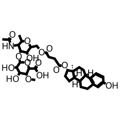 COC1C(C(=O)O)OC(OC2C(O)C(COC(=O)CCC(=O)O[C@H]3CC[C@H]4[C@@H]5CCc6cc(O)ccc6[C@H]5CC[C@]34C)OC(C)C2NC(C)=O)C(O)C1O